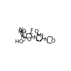 [N-]=[N+]=N[C@]1(CO)O[C@@H](n2ccc(N3CCOCC3)nc2=O)[C@@H](F)C1O